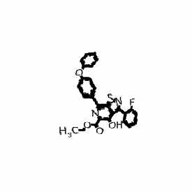 CCOC(=O)c1nc(-c2ccc(Oc3ccccc3)cc2)c2snc(-c3ccccc3F)c2c1O